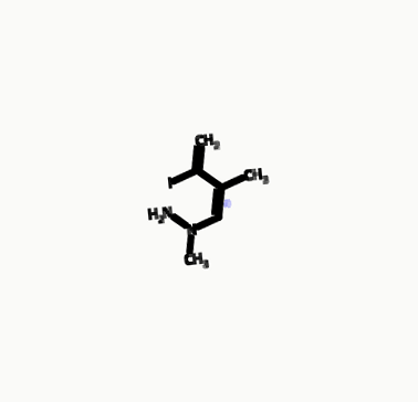 C=C(I)/C(C)=C\N(C)N